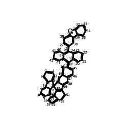 c1ccc2c(c1)-c1ccccc1C21c2cc3cc(-c4c5ccccc5c(-c5ccc6oc7ccccc7c6c5)c5ccccc45)ccc3cc2-c2ccc3ccccc3c21